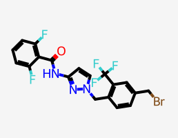 O=C(Nc1ccn(Cc2ccc(CBr)cc2C(F)(F)F)n1)c1c(F)cccc1F